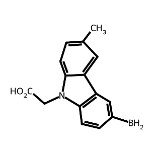 Bc1ccc2c(c1)c1cc(C)ccc1n2CC(=O)O